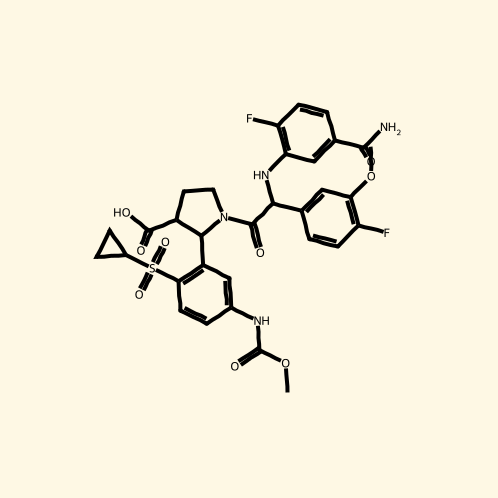 COC(=O)Nc1ccc(S(=O)(=O)C2CC2)c(C2C(C(=O)O)CCN2C(=O)C(Nc2cc(C(N)=O)ccc2F)c2ccc(F)c(OC)c2)c1